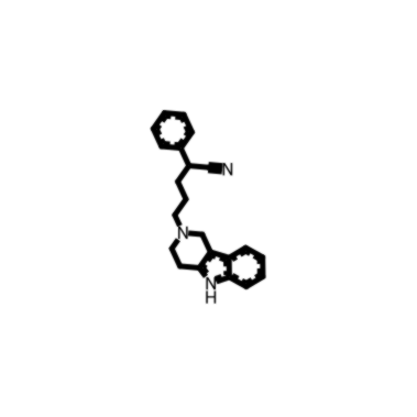 N#CC(CCCN1CCc2[nH]c3ccccc3c2C1)c1ccccc1